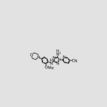 COc1cc(N2CCOCC2)ccc1Nc1nc(N)n(-c2ccc(C#N)cn2)n1